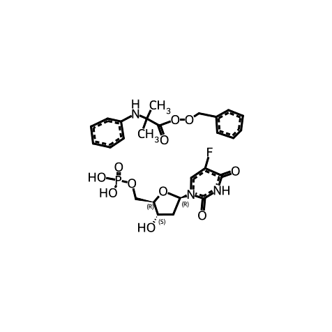 CC(C)(Nc1ccccc1)C(=O)OOCc1ccccc1.O=c1[nH]c(=O)n([C@H]2C[C@H](O)[C@@H](COP(=O)(O)O)O2)cc1F